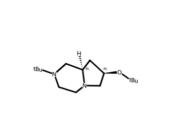 CC(C)(C)O[C@@H]1C[C@@H]2CN(C(C)(C)C)CCN2C1